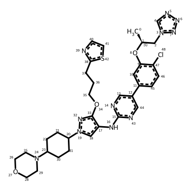 C[C@@H](Cn1cnnn1)Oc1cc(-c2cnc(Nc3cn(C4CCC(N5CCOCC5)CC4)nc3OCCCc3nccs3)nc2)ccc1Cl